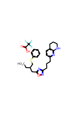 O=C(O)C(F)(F)F.O=C(O)CC(CSc1ccccc1)Cc1nc(CCCc2ccc3c(n2)NCCC3)no1